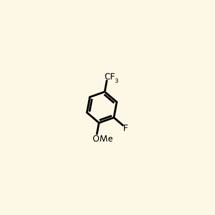 COc1ccc(C(F)(F)F)cc1F